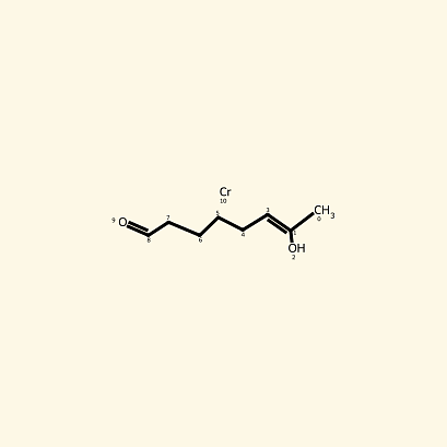 CC(O)=CCCCCC=O.[Cr]